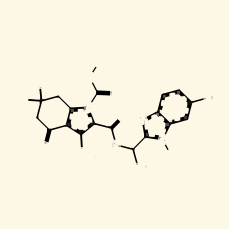 CCCCC(NC(=O)c1c(C)c2c(n1C(=O)OC(C)(C)C)CC(C)(C)CC2=O)c1nc2ccc(O)cc2n1C(=O)O